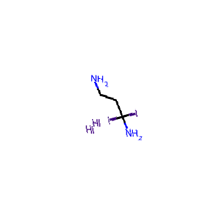 I.I.NCCC(N)(I)I